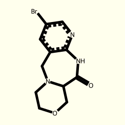 O=C1Nc2ncc(Br)cc2CN2CCOCC12